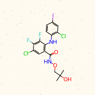 CC(C)(O)CONC(=O)c1cc(Cl)c(F)c(F)c1Nc1ccc(I)cc1Cl